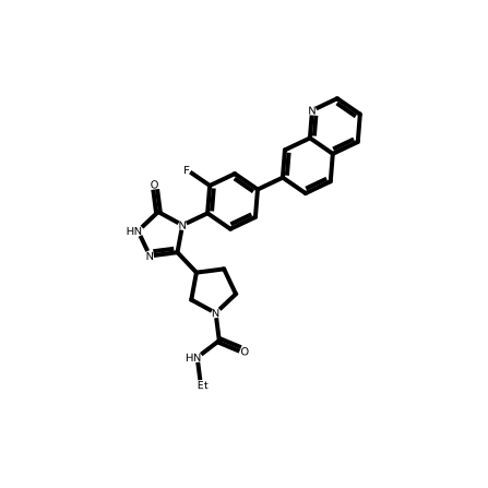 CCNC(=O)N1CCC(c2n[nH]c(=O)n2-c2ccc(-c3ccc4cccnc4c3)cc2F)C1